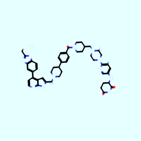 COCc1nc2cc(-c3ccnc4c3cc([C@H](C)N3CCC(c5ccc(C(=O)N6CCC(CN7CCN(c8ncc(NC9CCC(=O)NC9=O)cc8F)C[C@@H]7C)CC6)cc5)CC3)n4C)ccc2[nH]1